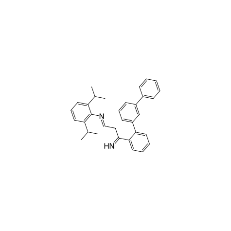 CC(C)c1cccc(C(C)C)c1N=CCC(=N)c1ccccc1-c1cccc(-c2ccccc2)c1